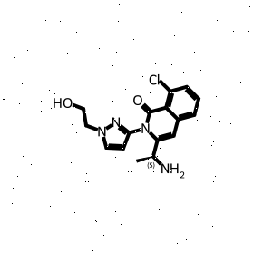 C[C@H](N)c1cc2cccc(Cl)c2c(=O)n1-c1ccn(CCO)n1